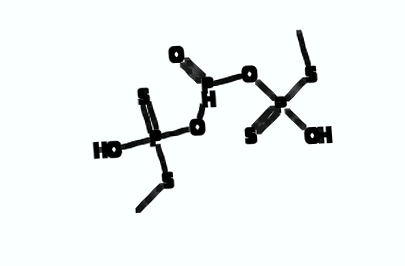 CSP(O)(=S)O[PH](=O)OP(O)(=S)SC